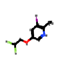 Cc1ncc(OCC(F)F)cc1I